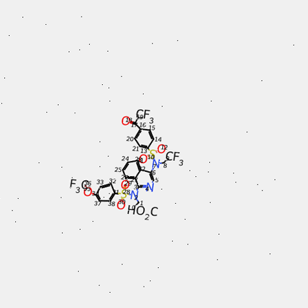 O=C(O)CN(c1ncc(N(CC(F)(F)F)S(=O)(=O)c2ccc(C(=O)C(F)(F)F)cc2)c2ccccc12)S(=O)(=O)c1ccc(OC(F)(F)F)cc1